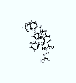 O=C(O)CCNC(=O)c1ccc(CN(Cc2ccc3c(c2)OCO3)c2nc(-c3ccccc3Cl)cs2)cc1